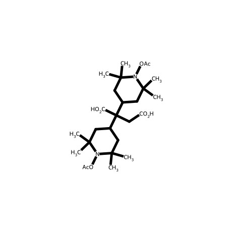 CC(=O)ON1C(C)(C)CC(C(CC(=O)O)(C(=O)O)C2CC(C)(C)N(OC(C)=O)C(C)(C)C2)CC1(C)C